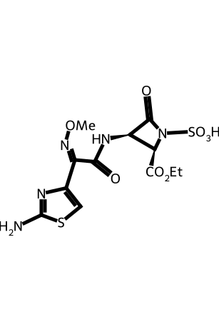 CCOC(=O)[C@H]1[C@@H](NC(=O)C(=NOC)c2csc(N)n2)C(=O)N1S(=O)(=O)O